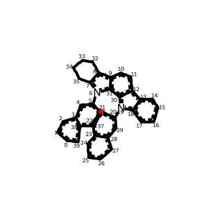 c1ccc2cc(-n3c4c(c5ccc6c7ccccc7n(-c7ccc8ccccc8c7)c6c53)CCCC4)ccc2c1